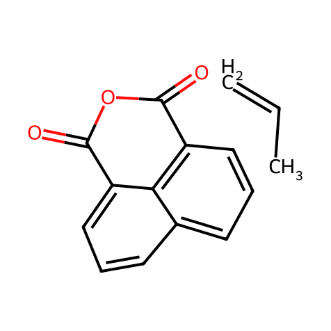 C=CC.O=C1OC(=O)c2cccc3cccc1c23